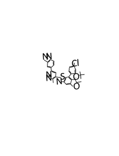 CC(=O)[C@@H](OC(C)(C)C)c1c(C)cc2nc(-c3cc(-c4ccc5c(cnn5C)c4)nnc3C)sc2c1-c1ccc(Cl)cc1